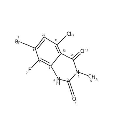 Cn1c(=O)[nH]c2c(F)c(Br)cc(Cl)c2c1=O